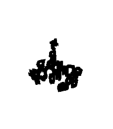 Cn1cc2c(Cl)c(-c3cn(COCC[Si](C)(C)C)c4nc(N5CCC6(CCCN6C(=O)OC(C)(C)C)CC5)n(C)c(=O)c34)ccc2n1